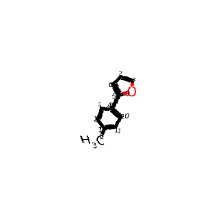 Cc1ccc(-c2c[c]co2)cc1